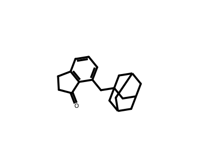 O=C1CCc2cccc(CC34CC5CC(CC(C5)C3)C4)c21